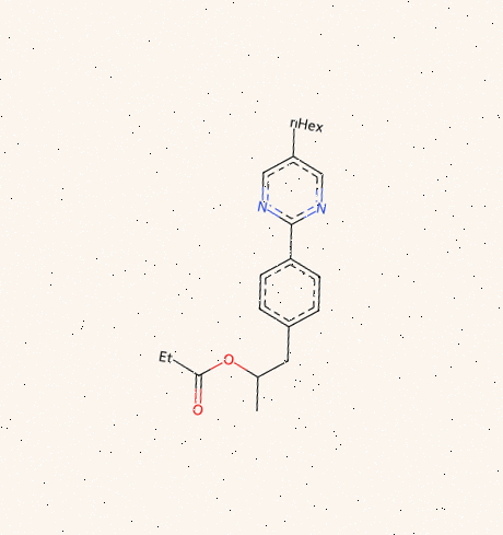 CCCCCCc1cnc(-c2ccc(CC(C)OC(=O)CC)cc2)nc1